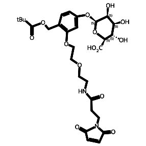 CC(C)(C)C(=O)OCc1ccc(O[C@@H]2O[C@H](C(=O)O)[C@@H](O)[C@H](O)[C@@H]2O)cc1OCCOCCNC(=O)CCN1C(=O)C=CC1=O